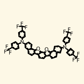 FC(F)(F)c1ccc(N(c2ccc(C(F)(F)F)cc2)c2ccc3c(ccc4c5ccc6c7ccc8cc(N(c9ccc(C(F)(F)F)cc9)c9ccc(C(F)(F)F)cc9)ccc8c7oc6c5oc34)c2)cc1